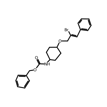 O=C(NC1CCC(OCC(Br)=Cc2ccccc2)CC1)OCc1ccccc1